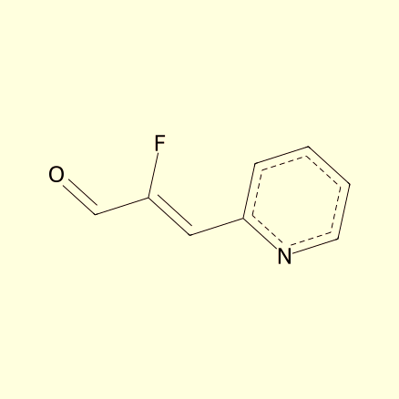 O=CC(F)=Cc1ccccn1